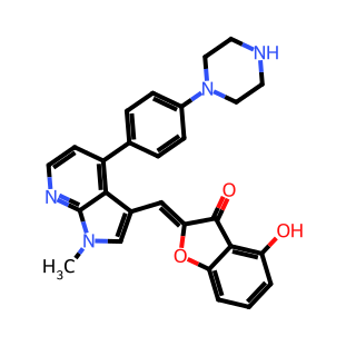 Cn1cc(/C=C2\Oc3cccc(O)c3C2=O)c2c(-c3ccc(N4CCNCC4)cc3)ccnc21